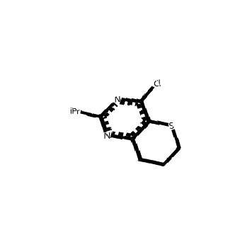 CC(C)c1nc(Cl)c2c(n1)CCCS2